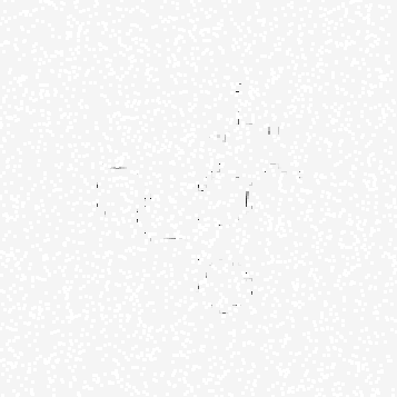 O=C1NC(=O)C(=Cc2cn(Cc3ccccc3)c3ccccc23)C(=O)N1